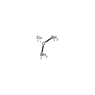 BOB.[Cu]